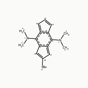 CN(C)c1c2c(c(N(C)C)c3c1=CC=C3)=CC(C(C)(C)C)=C2